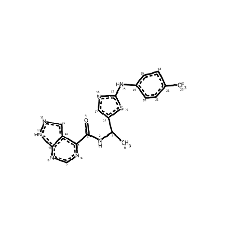 CC(NC(=O)c1ncnc2[nH]ncc12)c1cnc(Nc2ccc(C(F)(F)F)cc2)s1